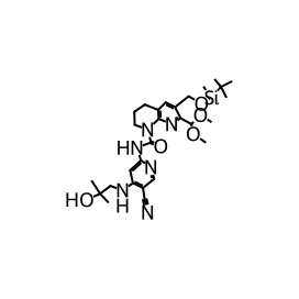 COC(OC)c1nc2c(cc1CO[Si](C)(C)C(C)(C)C)CCCN2C(=O)Nc1cc(NCC(C)(C)O)c(C#N)cn1